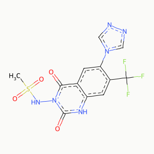 CS(=O)(=O)Nn1c(=O)[nH]c2cc(C(F)(F)F)c(-n3cnnc3)cc2c1=O